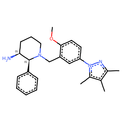 COc1ccc(-n2nc(C)c(C)c2C)cc1CN1CCC[C@H](N)[C@@H]1c1ccccc1